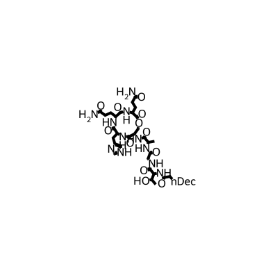 CCCCCCCCCCCC(=O)NC(C(=O)NCC(=O)NC(C)C(=O)NC1COC(=O)C(CCC(N)=O)NC(=O)C(CCC(N)=O)NC(=O)C(Cc2c[nH]cn2)NC1=O)C(C)O